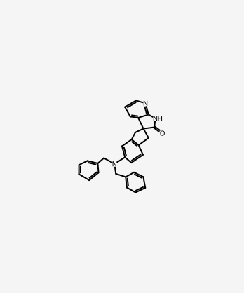 O=C1Nc2ncccc2C12Cc1ccc(N(Cc3ccccc3)Cc3ccccc3)cc1C2